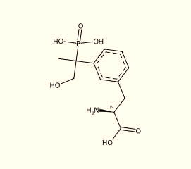 CC(CO)(c1cccc(C[C@H](N)C(=O)O)c1)P(=O)(O)O